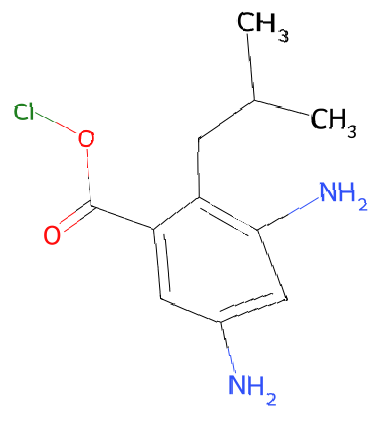 CC(C)Cc1c(N)cc(N)cc1C(=O)OCl